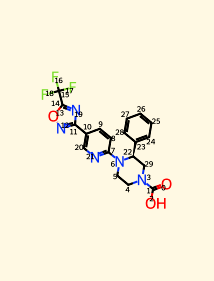 O=C(O)N1CCN(c2ccc(-c3noc(C(F)(F)F)n3)cn2)[C@@H](c2ccccc2)C1